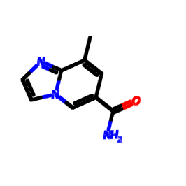 Cc1cc(C(N)=O)cn2ccnc12